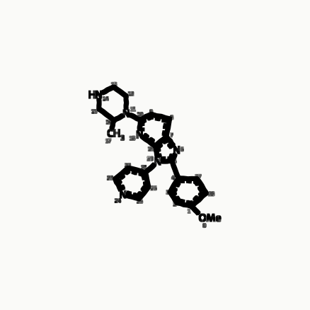 COc1ccc(-c2nc3ccc(N4CCNCC4C)nc3n2-c2ccncc2)cc1